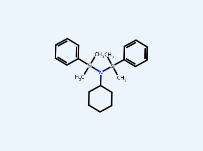 C[Si](C)(c1ccccc1)N(C1CCCCC1)[Si](C)(C)c1ccccc1